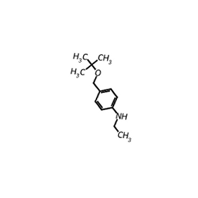 CCNc1ccc(COC(C)(C)C)cc1